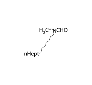 C=CN(C=O)CCCCCCCCCCCCCC